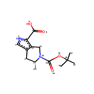 C[C@@H]1Cc2c[nH]c(C(=O)O)c2CN1C(=O)OC(C)(C)C